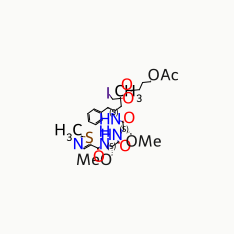 COC[C@H](NC(=O)c1cnc(C)s1)C(=O)N[C@@H](COC)C(=O)N[C@@H](Cc1ccccc1)CC(C)(CI)OC(=O)CCCOC(C)=O